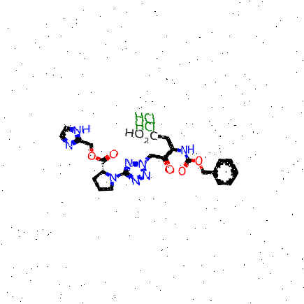 Cl.Cl.O=C(O)CC(NC(=O)OCc1ccccc1)C(=O)Cn1nnc(N2CCC[C@@H]2C(=O)OCc2ncc[nH]2)n1